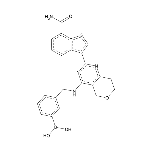 Cc1sc2c(C(N)=O)cccc2c1-c1nc2c(c(NCc3cccc(B(O)O)c3)n1)COCC2